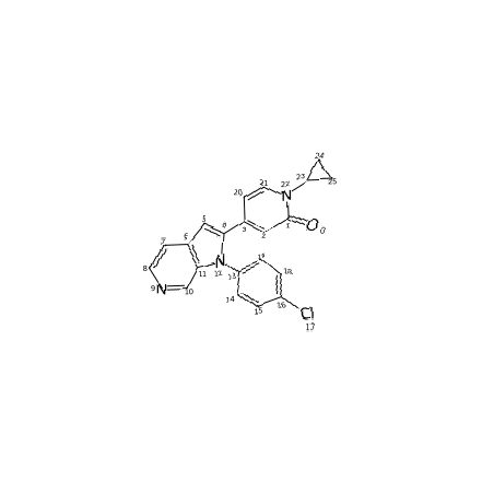 O=c1cc(-c2cc3ccncc3n2-c2ccc(Cl)cc2)ccn1C1CC1